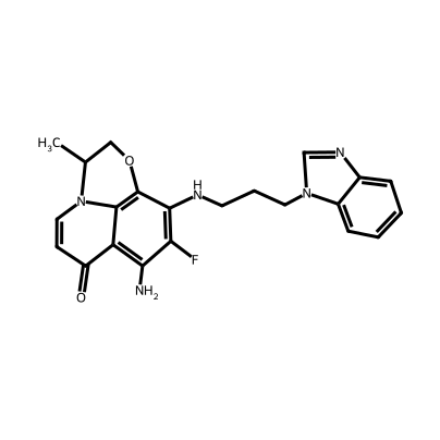 CC1COc2c(NCCCn3cnc4ccccc43)c(F)c(N)c3c(=O)ccn1c23